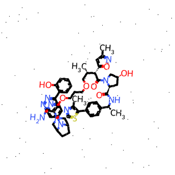 Cc1cc([C@H](C(=O)N2C[C@H](O)C[C@H]2C(=O)N[C@@H](C)c2ccc(-c3scnc3C)cc2)[C@@H](C)COCCCOc2cc(N3C4CCC3CN(c3cc(-c5ccccc5O)nnc3N)C4)ccn2)on1